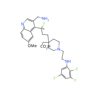 COc1ccc2ncc(CN)c([C@@H](F)CCC3(CC(=O)O)CCN(CCNc4cc(F)cc(F)c4F)CC3)c2c1